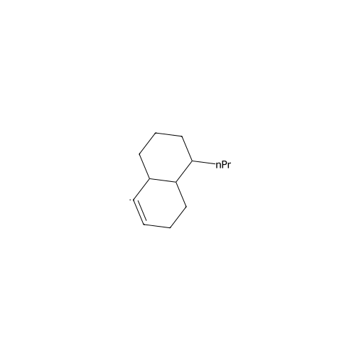 CCCC1CCCC2[C]=CCCC21